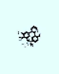 NS(=O)(=O)c1ccc(F)c(-c2ncccc2-c2ccc(Cl)c(Cl)c2)c1